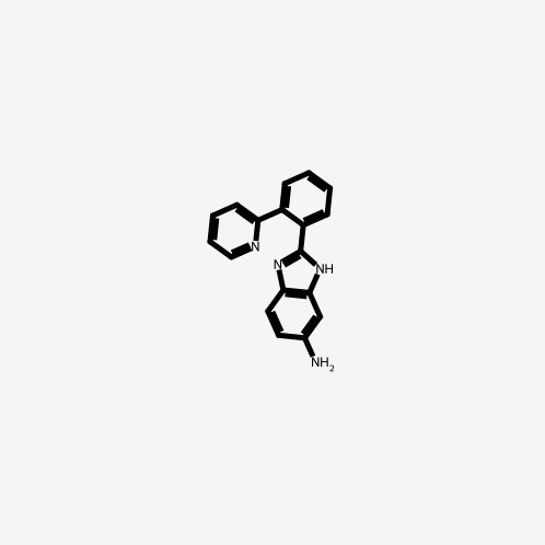 Nc1ccc2nc(-c3ccccc3-c3ccccn3)[nH]c2c1